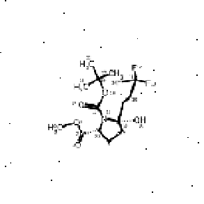 COC(=O)[C@H]1CC[C@](O)(CCC(F)(F)F)N1C(=O)OC(C)(C)C